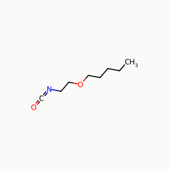 CCCCCOCCN=C=O